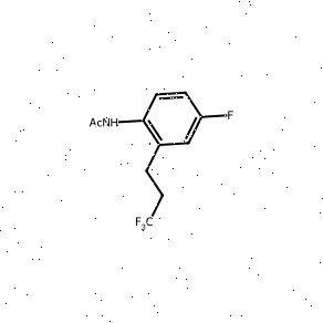 CC(=O)Nc1ccc(F)cc1CCC(F)(F)F